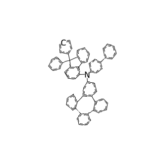 c1ccc(-c2ccc(N(c3ccc4c(c3)-c3ccccc3-c3ccccc3-c3ccccc3-4)c3cccc4c3-c3ccccc3C4(c3ccccc3)c3ccccc3)cc2)cc1